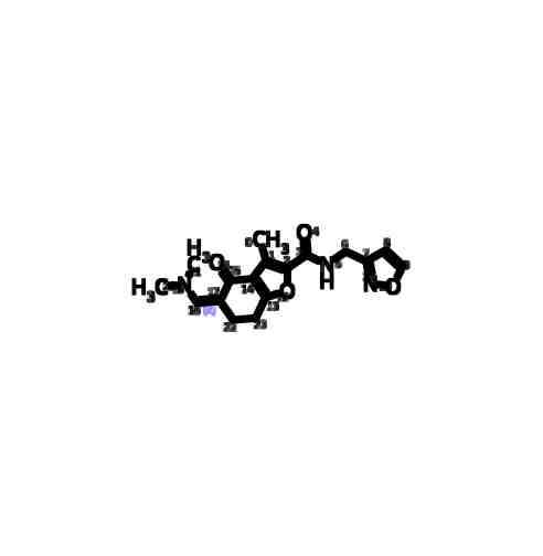 Cc1c(C(=O)NCc2ccon2)oc2c1C(=O)/C(=C\N(C)C)CC2